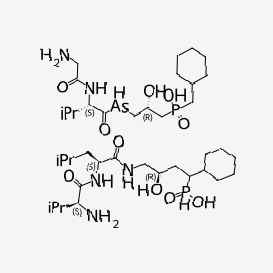 CC(C)C[C@H](NC(=O)[C@@H](N)C(C)C)C(=O)NC[C@H](O)CC(C1CCCCC1)[PH](=O)O.CC(C)[C@H](NC(=O)CN)C(=O)[AsH]C[C@H](O)CP(=O)(O)CC1CCCCC1